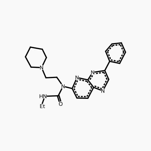 CCNC(=O)N(CCN1CCCCC1)c1ccc2ncc(-c3ccccc3)nc2n1